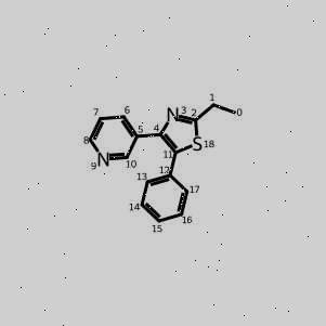 CCc1nc(-c2cccnc2)c(-c2ccccc2)s1